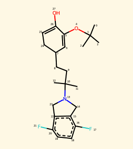 CC(C)(C)OC1=CC(CCC(C)(C)N2Cc3c(F)ccc(F)c3C2)CC=C1O